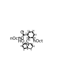 C1=Cn2cccc2C1.CCCCCCCCOC(=O)c1cccc(CCCCCCCC)c1C(=O)O